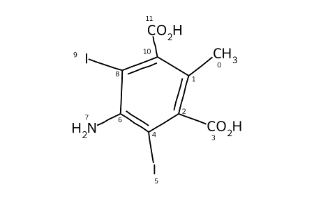 Cc1c(C(=O)O)c(I)c(N)c(I)c1C(=O)O